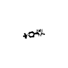 Cn1nnc(C2CCN(C(C)(C)C)CC2)n1